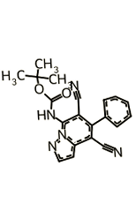 CC(C)(C)OC(=O)Nc1c(C#N)c(-c2ccccc2)c(C#N)c2ccnn12